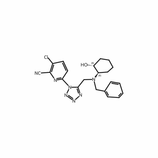 N#Cc1nc(-n2nnnc2CN(Cc2ccccc2)[C@@H]2CCCC[C@H]2O)ccc1Cl